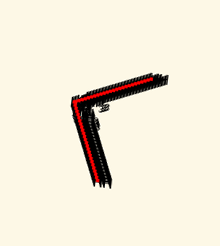 [AlH3].[AlH3].[AlH3].[AlH3].[AlH3].[AlH3].[AlH3].[AlH3].[AlH3].[AlH3].[HH].[HH].[HH].[HH].[HH].[HH].[HH].[HH].[HH].[HH].[HH].[HH].[HH].[HH].[HH].[HH].[HH].[HH].[HH].[HH].[HH].[HH].[HH].[HH].[HH].[HH].[HH].[HH].[HH].[HH].[HH].[HH].[HH].[HH].[HH].[HH].[HH].[HH].[HH].[HH].[HH].[HH].[HH].[HH].[HH].[HH].[HH].[HH].[HH].[HH].[HH].[HH].[HH].[HH].[HH].[HH].[HH].[HH].[HH].[HH].[HH].[HH].[HH].[HH].[HH].[HH].[HH].[HH].[HH].[HH].[HH].[HH].[HH].[HH].[HH].[HH].[HH].[HH].[HH].[HH].[HH].[HH].[HH].[LiH].[LiH].[LiH].[LiH].[LiH].[LiH].[LiH].[LiH].[LiH].[LiH]